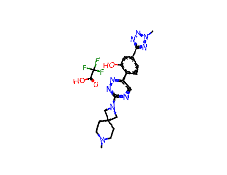 CN1CCC2(CC1)CN(c1ncc(-c3ccc(-c4nnn(C)n4)cc3O)nn1)C2.O=C(O)C(F)(F)F